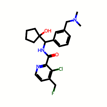 CN(C)Cc1cccc(C(NC(=O)c2nccc(CF)c2Cl)C2(O)CCCC2)c1